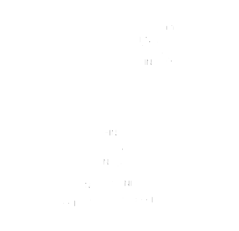 CC(C)C[C@@H](N)C(=O)NOCCCCCCNC(=O)CN(CCNCC=O)CCNCC(=O)O